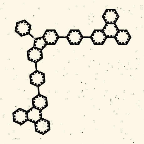 c1ccc(-n2c3ccc(-c4ccc(-c5ccc6c7ccccc7c7ccccc7c6c5)cc4)cc3c3cc(-c4ccc(-c5ccc6c7ccccc7c7ccccc7c6c5)cc4)ccc32)cc1